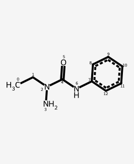 CCN(N)C(=O)Nc1ccccc1